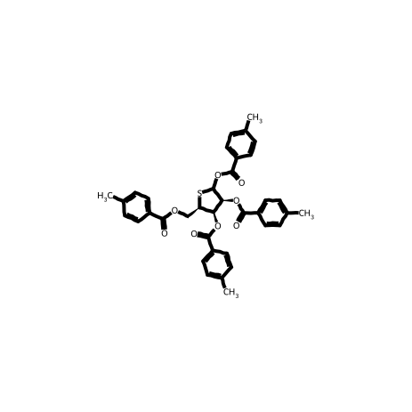 Cc1ccc(C(=O)OC[C@H]2SC(OC(=O)c3ccc(C)cc3)[C@@H](OC(=O)c3ccc(C)cc3)[C@H]2OC(=O)c2ccc(C)cc2)cc1